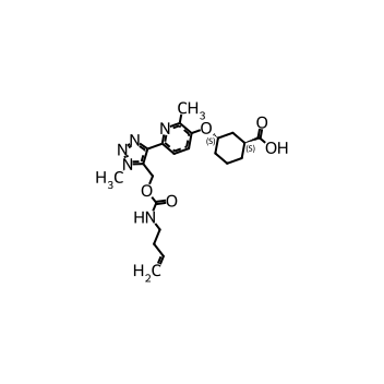 C=CCCNC(=O)OCc1c(-c2ccc(O[C@H]3CCC[C@H](C(=O)O)C3)c(C)n2)nnn1C